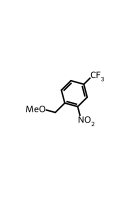 COCc1ccc(C(F)(F)F)cc1[N+](=O)[O-]